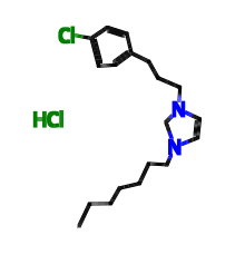 CCCCCCCN1C=CN(CCCc2ccc(Cl)cc2)C1.Cl